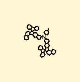 Cc1ccc(N(c2ccc3cc4c(cc3c2)C2(c3ccccc3-c3ccccc32)c2ccc3ccccc3c2-4)c2ccc3cc4c(cc3c2)C2(c3ccccc3-c3ccccc32)c2ccc3ccccc3c2-4)cc1